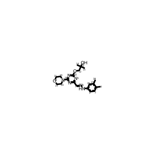 Cc1ccc(NN=Cc2nc(OCC(C)(C)O)nc(N3CCOCC3)n2)cc1C